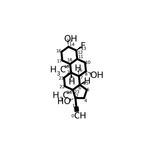 C#C[C@]1(O)CC[C@H]2[C@@H]3[C@@H](O)CC4[C@H](F)[C@@H](O)CC[C@]4(C)[C@H]3CC[C@@]21C